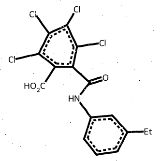 CCc1cccc(NC(=O)c2c(Cl)c(Cl)c(Cl)c(Cl)c2C(=O)O)c1